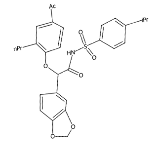 CCCc1cc(C(C)=O)ccc1OC(C(=O)NS(=O)(=O)c1ccc(C(C)C)cc1)c1ccc2c(c1)OCO2